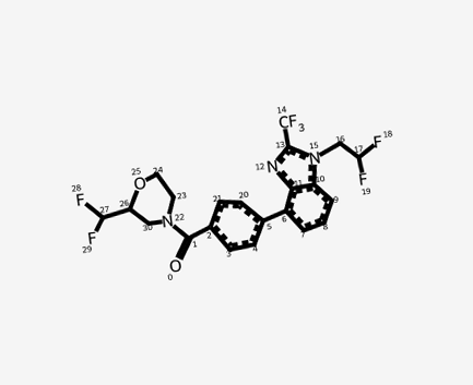 O=C(c1ccc(-c2cccc3c2nc(C(F)(F)F)n3CC(F)F)cc1)N1CCOC(C(F)F)C1